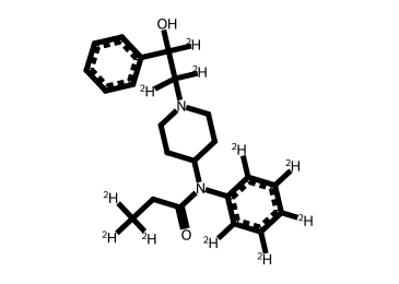 [2H]c1c([2H])c([2H])c(N(C(=O)CC([2H])([2H])[2H])C2CCN(C([2H])([2H])C([2H])(O)c3ccccc3)CC2)c([2H])c1[2H]